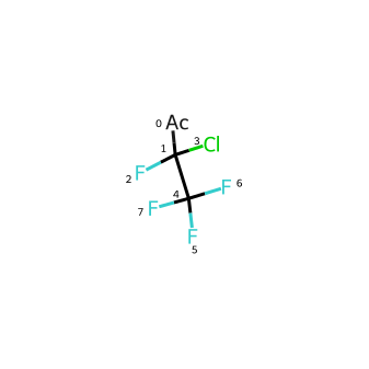 CC(=O)C(F)(Cl)C(F)(F)F